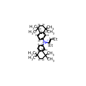 CC/C=C(\CC)N(c1ccc2c(c1)C(C)(C)CCC2(C)C)c1ccc2c(c1)C(C)(C)CCC2(C)C